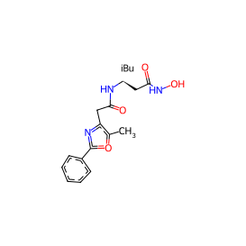 CC[C@H](C)[C@@H](CC(=O)NO)NC(=O)Cc1nc(-c2ccccc2)oc1C